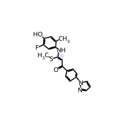 CS/C(=C\C(=O)c1ccc(-n2cccn2)cc1)Nc1cc(F)c(O)cc1C